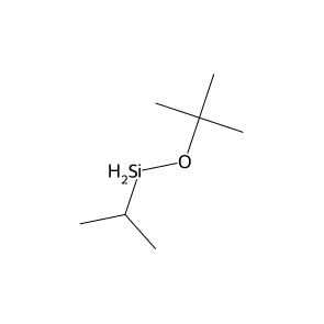 CC(C)[SiH2]OC(C)(C)C